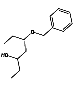 CCC(O)C[C@H](CC)OCc1ccccc1